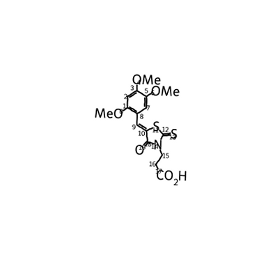 COc1cc(OC)c(OC)cc1/C=C1\SC(=S)N(CCC(=O)O)C1=O